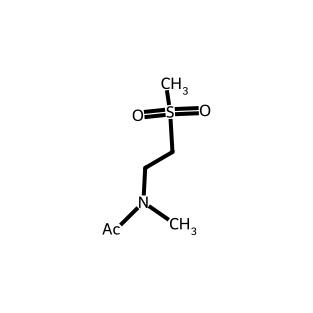 CC(=O)N(C)CCS(C)(=O)=O